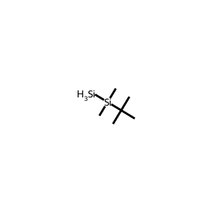 CC(C)(C)[Si](C)(C)[SiH3]